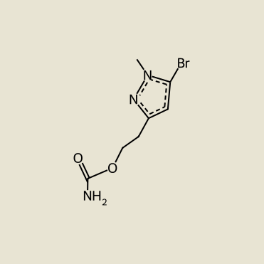 Cn1nc(CCOC(N)=O)cc1Br